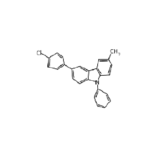 Cc1ccc2c(c1)c1cc(-c3ccc(Cl)cc3)ccc1n2-c1ccccc1